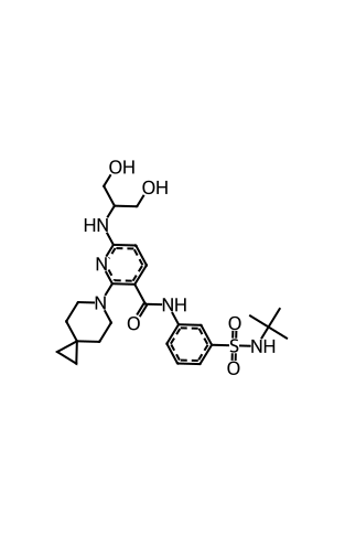 CC(C)(C)NS(=O)(=O)c1cccc(NC(=O)c2ccc(NC(CO)CO)nc2N2CCC3(CC2)CC3)c1